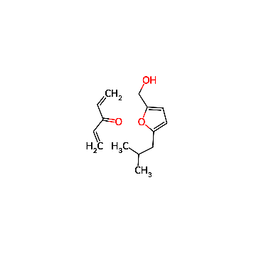 C=CC(=O)C=C.CC(C)Cc1ccc(CO)o1